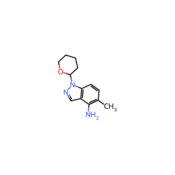 Cc1ccc2c(cnn2C2CCCCO2)c1N